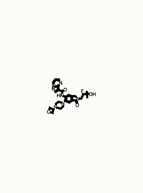 CC(C)(O)C(F)CN1Cc2cc(NC(=O)c3cnn4cccnc34)c(N3CCN(C4COC4)CC3)cc2C1=O